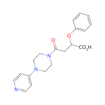 O=C(O)C(CC(=O)N1CCN(c2ccncc2)CC1)Oc1ccccc1